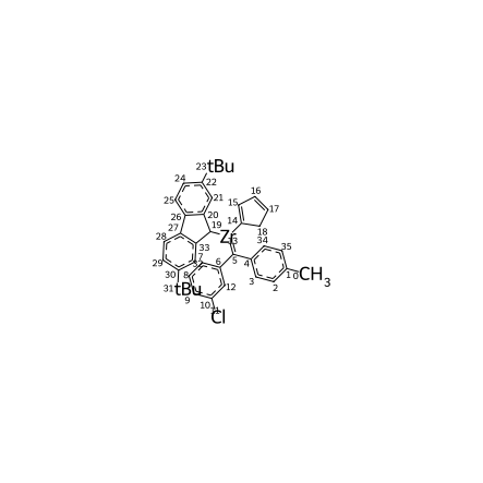 Cc1ccc([C](c2cccc(Cl)c2)=[Zr]([C]2=CC=CC2)[CH]2c3cc(C(C)(C)C)ccc3-c3ccc(C(C)(C)C)cc32)cc1